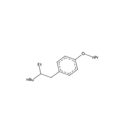 CCCCC(CC)Cc1ccc(OCCC)cc1